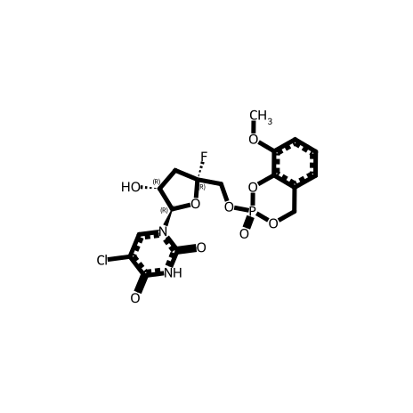 COc1cccc2c1OP(=O)(OC[C@]1(F)C[C@@H](O)[C@H](n3cc(Cl)c(=O)[nH]c3=O)O1)OC2